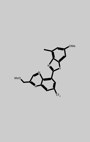 COCc1cnc2c(-c3nc4c(C)cc(OC)cc4s3)cc(C(F)(F)F)cc2n1